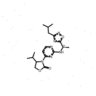 CC(C)Cc1noc([C@@H](C)Nc2nccc(N3C(=O)OCC3C(C)C)n2)n1